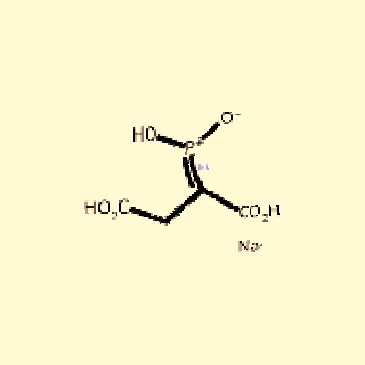 O=C(O)C/C(C(=O)O)=[P+](/[O-])O.[Na]